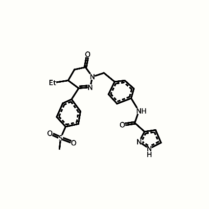 CCC1CC(=O)N(Cc2ccc(NC(=O)c3cc[nH]n3)cc2)N=C1c1ccc(S(C)(=O)=O)cc1